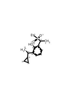 CCS(=O)(=O)C(C)c1cccc(C(C)C2CC2)c1O